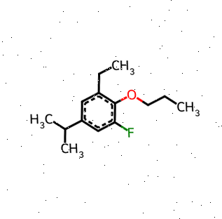 CCCOc1c(F)cc(C(C)C)cc1CC